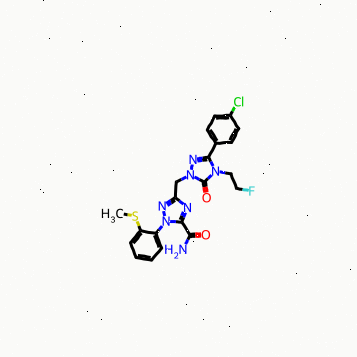 CSc1ccccc1-n1nc(Cn2nc(-c3ccc(Cl)cc3)n(CCF)c2=O)nc1C(N)=O